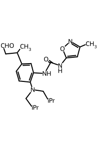 Cc1cc(NC(=O)Nc2cc(C(C)CC=O)ccc2N(CC(C)C)CC(C)C)on1